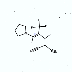 CC(=C(C#N)C#N)/C(=C(\C)N1CCCC1)C(F)(F)F